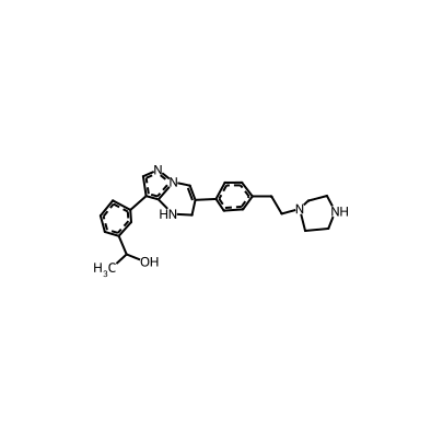 CC(O)c1cccc(-c2cnn3c2NCC(c2ccc(CCN4CCNCC4)cc2)=C3)c1